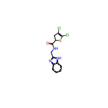 O=C(NCc1nc2ccccc2[nH]1)C1CC(Cl)=C(Cl)S1